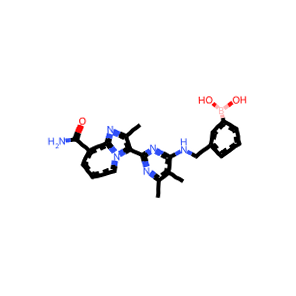 Cc1nc(-c2c(C)nc3c(C(N)=O)cccn23)nc(NCc2cccc(B(O)O)c2)c1C